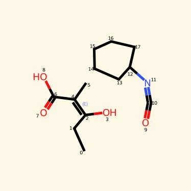 CC/C(O)=C(/C)C(=O)O.O=C=NC1CCCCC1